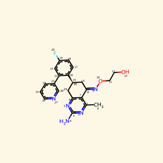 Cc1nc(N)nc2c1C(=NOCCO)C[C@H](c1ccc(F)cc1-c1cccnc1)C2